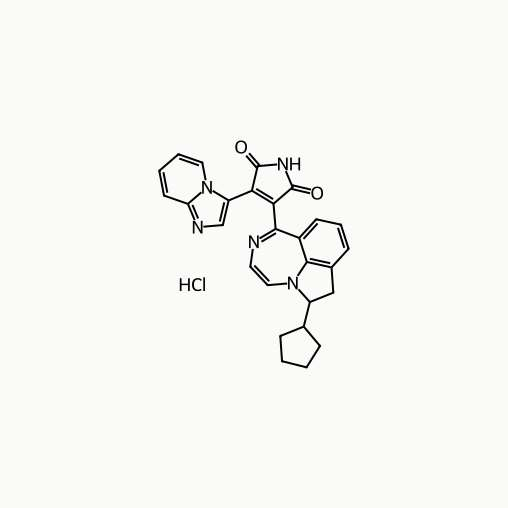 Cl.O=C1NC(=O)C(c2cnc3ccccn23)=C1C1=NC=CN2c3c(cccc31)CC2C1CCCC1